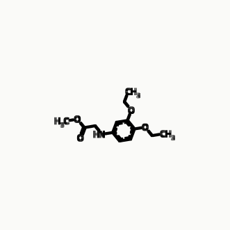 CCOc1ccc(NCC(=O)OC)cc1OCC